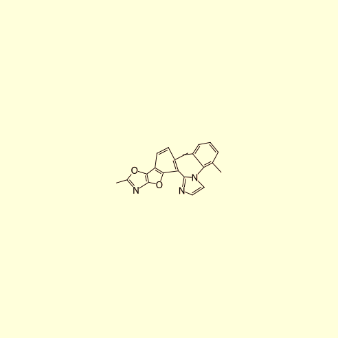 Cc1nc2oc3c(-c4nccn4-c4c(C)cccc4C)c(C)ccc3c2o1